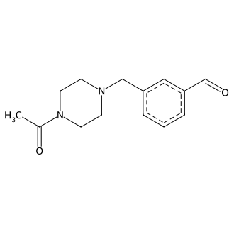 CC(=O)N1CCN(Cc2cccc(C=O)c2)CC1